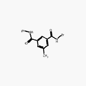 Cc1cc(C(=O)NC(C)C)cc(C(=O)NC(C)C)c1